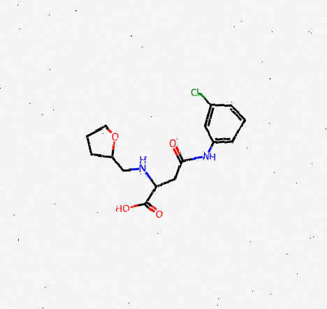 O=C(CC(NCC1CCCO1)C(=O)O)Nc1cccc(Cl)c1